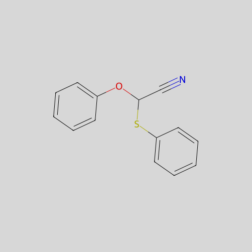 N#CC(Oc1ccccc1)Sc1ccccc1